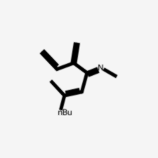 C=CC(=C)C(/C=C(\C)CCCC)=N/C